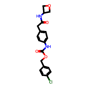 O=C(Cc1ccc(NC(=O)OCc2ccc(Cl)cc2)cc1)NC1COC1